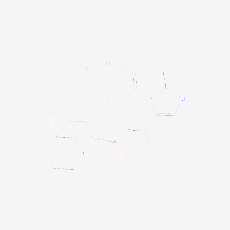 C.Cc1ccc2[nH]cc(C(C)CC(=O)N3CCC4(O)CCCC3C4)c2c1C